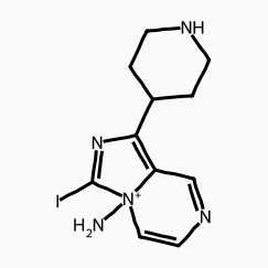 N[N+]12C=CN=CC1=C(C1CCNCC1)N=C2I